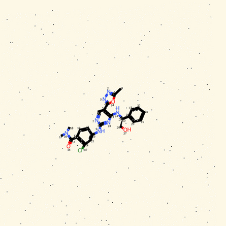 Cc1nnc(-c2cnc(Nc3ccc(C(=O)N(C)C)c(Cl)c3)nc2N[C@H](CO)c2ccccc2)o1